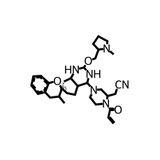 C=CC(=O)N1CCN(C2NC(OCC3CCCN3C)NC3C[C@@]4(CCC32)Oc2ccccc2CC4C)CC1CC#N